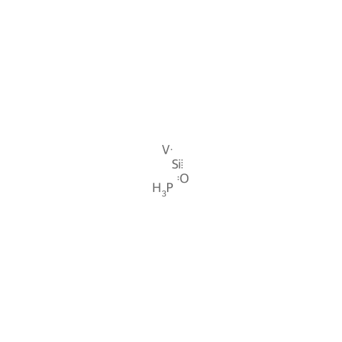 P.[O].[Si].[V]